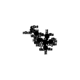 CC(C)(C)c1cc(CC(CC(CC(Cc2cc(C(C)(C)C)c(O)c(C(C)(C)C)c2)C(=O)O)(CC(Cc2cc(C(C)(C)C)c(O)c(C(C)(C)C)c2)C(=O)O)CC(Cc2cc(C(C)(C)C)c(O)c(C(C)(C)C)c2)C(=O)O)C(=O)O)cc(C(C)(C)C)c1O.CCCCCCCCSc1nc(Nc2cc(C(C)(C)C)c(O)c(C(C)(C)C)c2)nc(SCCCCCCCC)n1